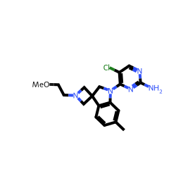 COCCN1CC2(C1)CN(c1nc(N)ncc1Cl)c1cc(C)ccc12